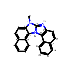 Cn1c2ccc3ccccc3c2n2c3c(ccc4ccccc43)nc12